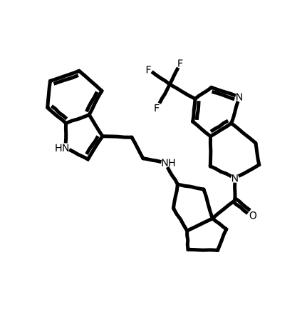 O=C(N1CCc2ncc(C(F)(F)F)cc2C1)C12CCCC1CC(NCCc1c[nH]c3ccccc13)C2